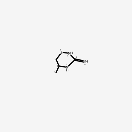 CC1CSNC(=N)N1